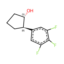 O[C@H]1CCC[C@@H]1c1cc(F)c(F)c(F)c1